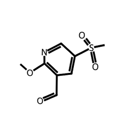 COc1ncc(S(C)(=O)=O)cc1C=O